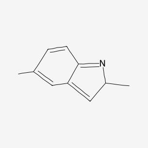 Cc1ccc2c(c1)=CC(C)N=2